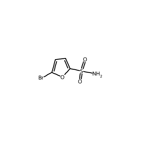 NS(=O)(=O)c1ccc(Br)o1